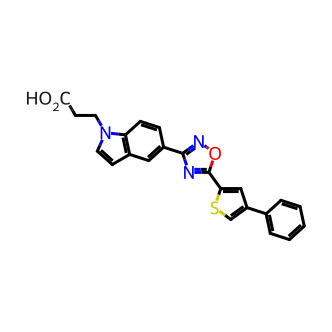 O=C(O)CCn1ccc2cc(-c3noc(-c4cc(-c5ccccc5)cs4)n3)ccc21